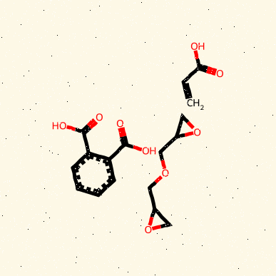 C(OCC1CO1)C1CO1.C=CC(=O)O.O=C(O)c1ccccc1C(=O)O